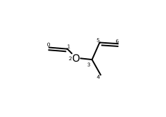 C=COC(C)C=C